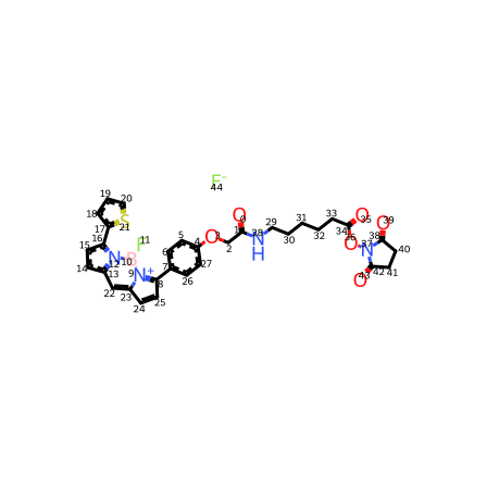 O=C(COc1ccc(C2=[N+]3B(F)n4c(ccc4-c4cccs4)C=C3C=C2)cc1)NCCCCCC(=O)ON1C(=O)CCC1=O.[F-]